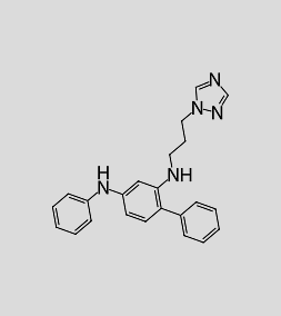 c1ccc(Nc2ccc(-c3ccccc3)c(NCCCn3cncn3)c2)cc1